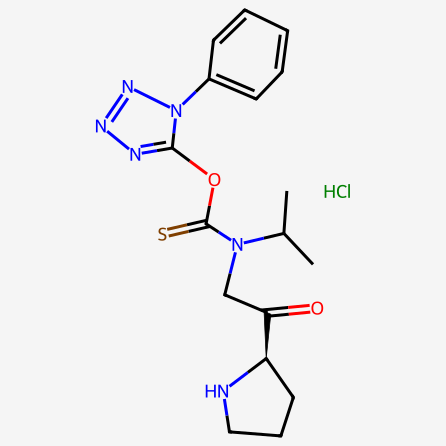 CC(C)N(CC(=O)[C@H]1CCCN1)C(=S)Oc1nnnn1-c1ccccc1.Cl